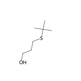 CC(C)(C)SCCCO